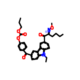 CCCC/C(=N\OC)C(=O)c1ccc2c(c1)c1cc(C(=O)c3ccc(OC(=O)OCCC)cc3)ccc1n2CC